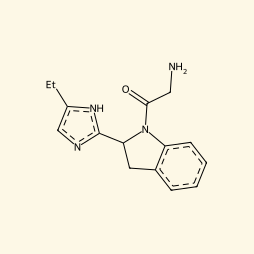 CCc1cnc(C2Cc3ccccc3N2C(=O)CN)[nH]1